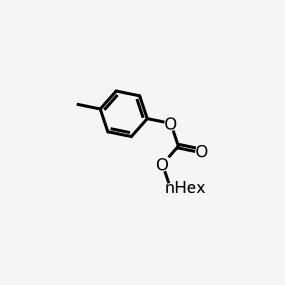 CCCCCCOC(=O)Oc1ccc(C)cc1